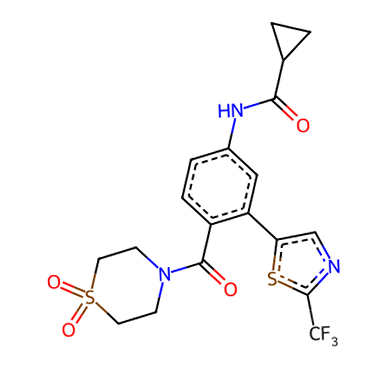 O=C(Nc1ccc(C(=O)N2CCS(=O)(=O)CC2)c(-c2cnc(C(F)(F)F)s2)c1)C1CC1